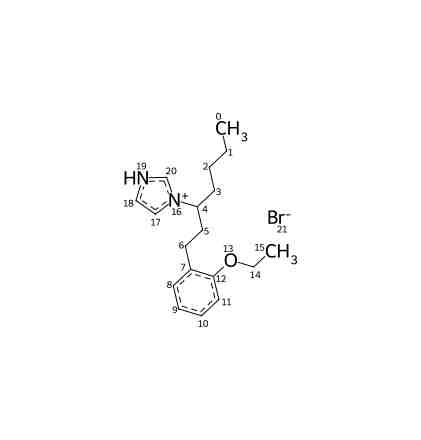 CCCCC(CCc1ccccc1OCC)[n+]1cc[nH]c1.[Br-]